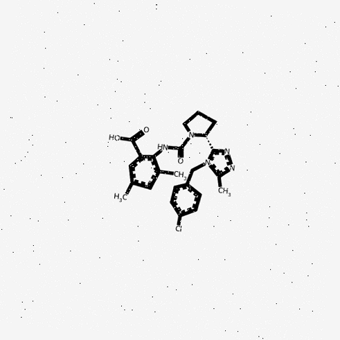 Cc1cc(C)c(NC(=O)N2CCC[C@@H]2c2nnc(C)n2Cc2ccc(Cl)cc2)c(C(=O)O)c1